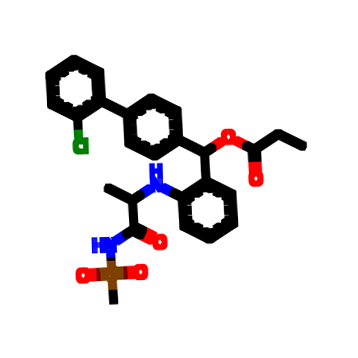 CCC(=O)OC(c1ccc(-c2ccccc2Cl)cc1)c1ccccc1NC(C)C(=O)NS(C)(=O)=O